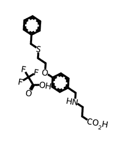 O=C(O)C(F)(F)F.O=C(O)CCNCc1ccc(OCCSCc2ccccc2)cc1